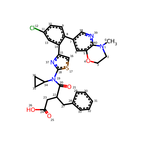 CN1CCOc2cc(-c3ccc(Cl)cc3-c3csc(N(C(=O)C(CC(=O)O)Cc4ccccc4)C4CC4)n3)cnc21